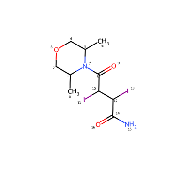 CC1COCC(C)N1C(=O)C(I)C(I)C(N)=O